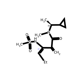 C=C(C(=O)N(C)[C@@H](C)C1CC1)/C(=C\CC)NS(C)(=O)=O